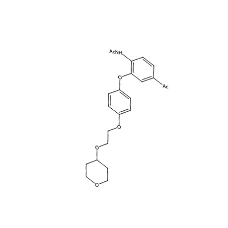 CC(=O)Nc1ccc(C(C)=O)cc1Oc1ccc(OCCOC2CCOCC2)cc1